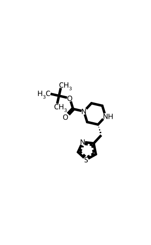 CC(C)(C)OC(=O)N1CCN[C@H](Cc2cscn2)C1